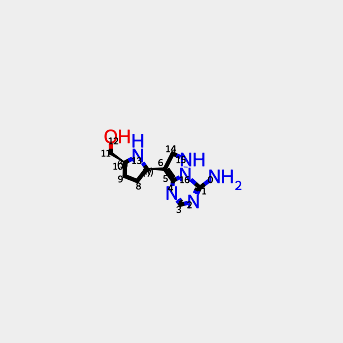 NC1=NC=NC2=C([C@H]3CC[C@@H](CO)N3)CNN12